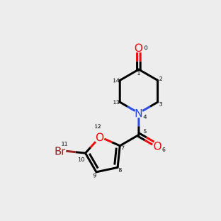 O=C1CCN(C(=O)c2ccc(Br)o2)CC1